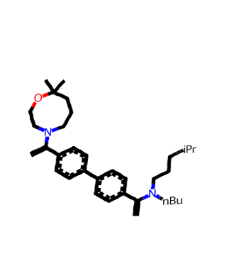 C=C(c1ccc(-c2ccc(C(=C)N3CCCC(C)(C)OCC3)cc2)cc1)N(CCCC)CCCC(C)C